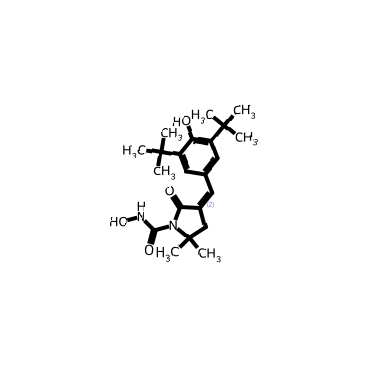 CC(C)(C)c1cc(/C=C2/CC(C)(C)N(C(=O)NO)C2=O)cc(C(C)(C)C)c1O